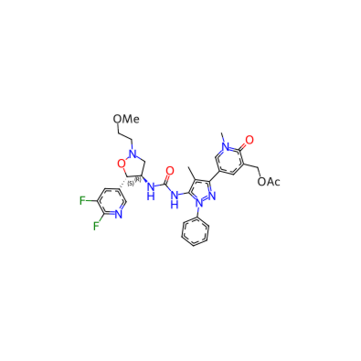 COCCN1C[C@@H](NC(=O)Nc2c(C)c(-c3cc(COC(C)=O)c(=O)n(C)c3)nn2-c2ccccc2)[C@H](c2cnc(F)c(F)c2)O1